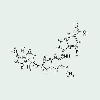 CCc1cc2[nH]c(O[C@@H]3CO[C@H]4[C@@H]3OC[C@H]4O)nc2nc1NC1CCc2cc(C(=O)O)cc(F)c21